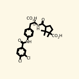 CC1(C(=O)O)CCC(C(=O)N[C@@H](Cc2ccc(NC(=O)c3ccc(Cl)c(Cl)c3)cc2)C(=O)O)C1(C)C